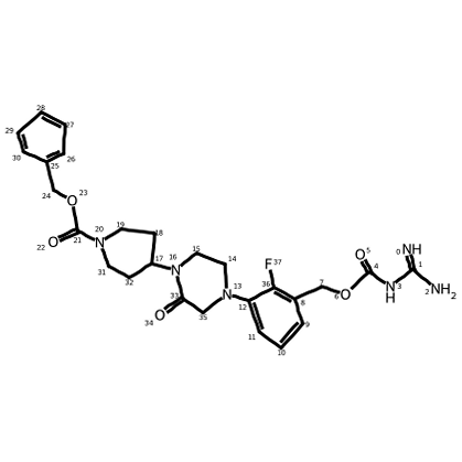 N=C(N)NC(=O)OCc1cccc(N2CCN(C3CCN(C(=O)OCc4ccccc4)CC3)C(=O)C2)c1F